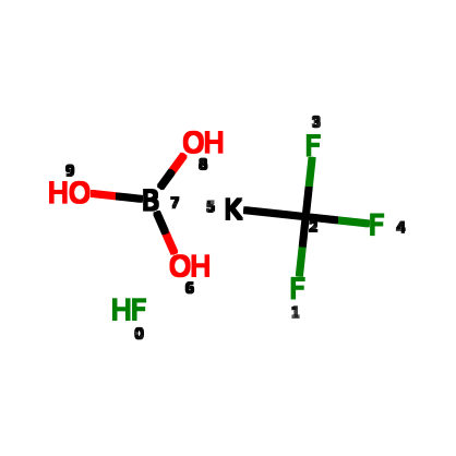 F.F[C](F)(F)[K].OB(O)O